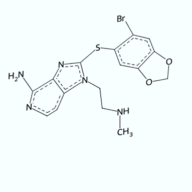 CNCCn1c(Sc2cc3c(cc2Br)OCO3)nc2c(N)nccc21